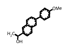 COc1ccc(-c2ccc3cc(C(C)O)ccc3c2)cc1